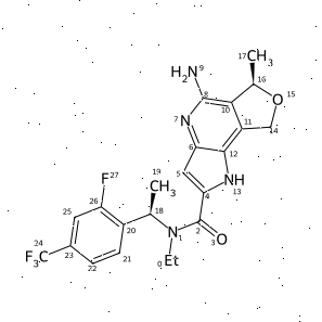 CCN(C(=O)c1cc2nc(N)c3c(c2[nH]1)CO[C@@H]3C)[C@H](C)c1ccc(C(F)(F)F)cc1F